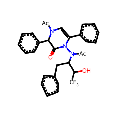 CC(=O)N1C=C(c2ccccc2)N(N(C(C)=O)C(Cc2ccccc2)C(O)C(F)(F)F)C(=O)C1c1ccccc1